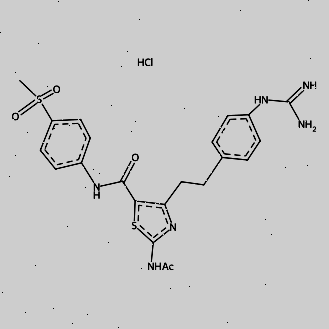 CC(=O)Nc1nc(CCc2ccc(NC(=N)N)cc2)c(C(=O)Nc2ccc(S(C)(=O)=O)cc2)s1.Cl